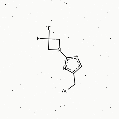 CC(=O)Cc1csc(N2CC(F)(F)C2)n1